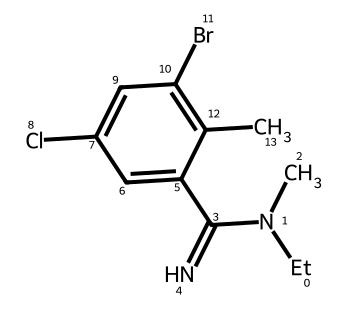 CCN(C)C(=N)c1cc(Cl)cc(Br)c1C